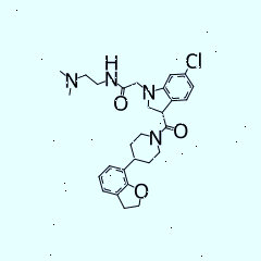 CN(C)CCNC(=O)CN1CC(C(=O)N2CCC(c3cccc4c3OCC4)CC2)c2ccc(Cl)cc21